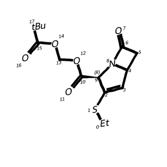 CCSC1=CC2CC(=O)N2[C@@H]1C(=O)OCOC(=O)C(C)(C)C